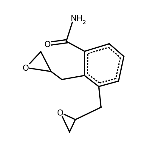 NC(=O)c1cccc(CC2CO2)c1CC1CO1